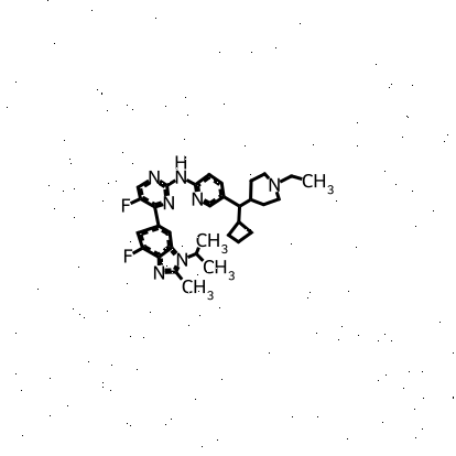 CCN1CCC(C(c2ccc(Nc3ncc(F)c(-c4cc(F)c5nc(C)n(C(C)C)c5c4)n3)nc2)C2CCC2)CC1